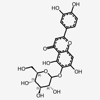 O=c1cc(-c2ccc(O)c(O)c2)oc2cc(O)c(OC3O[C@H](CO)[C@@H](O)[C@H](O)[C@H]3O)c(O)c12